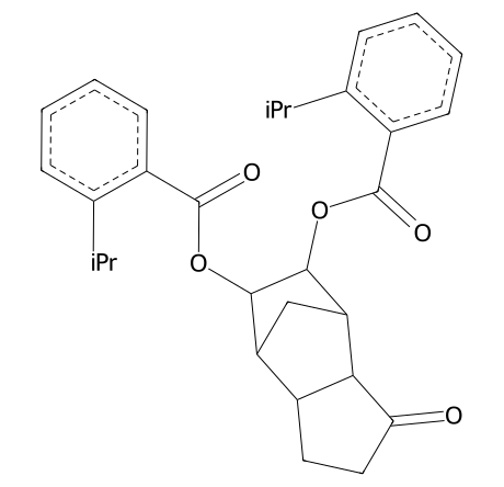 CC(C)c1ccccc1C(=O)OC1C2CC(C1OC(=O)c1ccccc1C(C)C)C1C(=O)CCC21